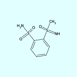 CS(=N)(=O)c1ccccc1S(N)(=O)=O